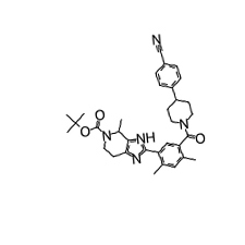 Cc1cc(C)c(-c2nc3c([nH]2)C(C)N(C(=O)OC(C)(C)C)CC3)cc1C(=O)N1CCC(c2ccc(C#N)cc2)CC1